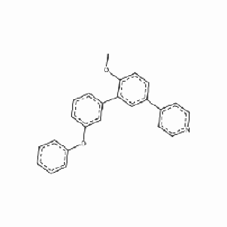 COc1ccc(-c2ccncc2)cc1-c1cccc(Oc2ccccc2)c1